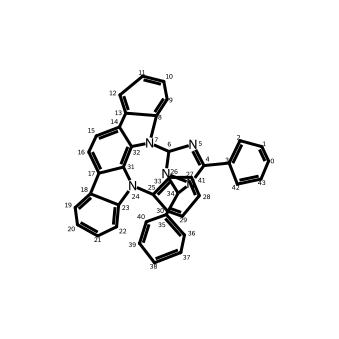 c1ccc(C2=NC(n3c4ccccc4c4ccc5c6ccccc6n(-c6ccccc6)c5c43)N3C(c4ccccc4)N23)cc1